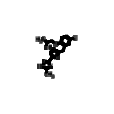 Cc1nc(-c2csc(Cc3cc(Cl)ccc3OCC(C)C)n2)n[nH]1